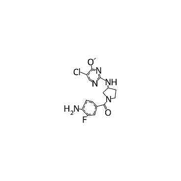 COc1nc(N[C@H]2CCN(C(=O)c3ccc(N)c(F)c3)C2)ncc1Cl